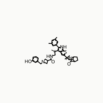 Cc1cc(C)cc(-c2[nH]c3sc(C(C)(C)CC4C5CCC4C(=O)N5)cc3c2[C@H](C)CNC(=O)C2CN(Cc3cccc(O)c3)C2)c1